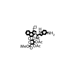 COC(=O)[C@H]1OC(Oc2cc3c(c4ccccc24)[C@H](CCl)CN3C(=O)c2cc3cc(N)ccc3[nH]2)[C@H](OC(C)=O)[C@@H](OC(C)=O)[C@@H]1OC(C)=O